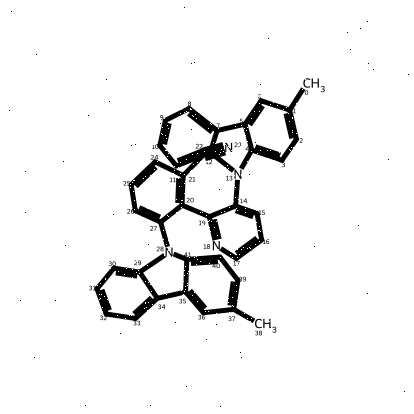 Cc1ccc2c(c1)c1ccccc1n2-c1cccnc1-c1c(C#N)cccc1-n1c2ccccc2c2cc(C)ccc21